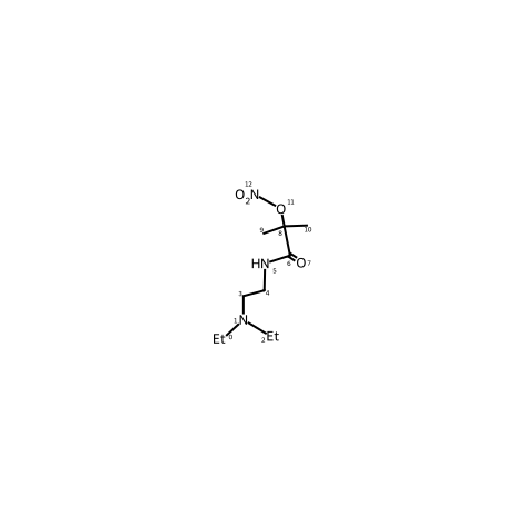 CCN(CC)CCNC(=O)C(C)(C)O[N+](=O)[O-]